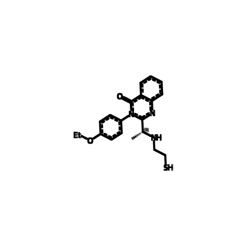 CCOc1ccc(-n2c([C@@H](C)NCCS)nc3ccccc3c2=O)cc1